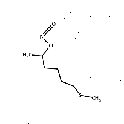 CSCCCCC(C)ON=O